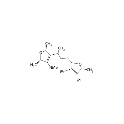 CNC1=C(C(C)CCC2OC(C)C(C(C)C)=C2C(C)C)[C@H](C)O[C@@H]1C